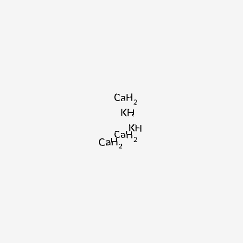 [CaH2].[CaH2].[CaH2].[KH].[KH]